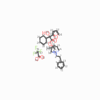 O=C(O[C@H]1C[N+]2(CCc3ccccc3)CCC1CC2)[C@@](O)(c1ccco1)C1CCCCC1.O=C([O-])C(F)(F)F